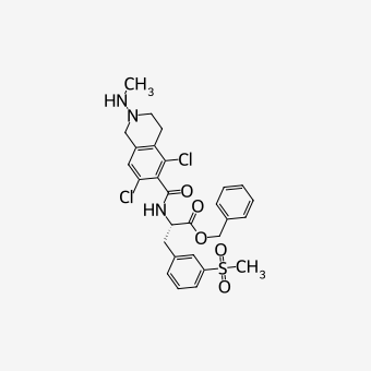 CNN1CCc2c(cc(Cl)c(C(=O)N[C@@H](Cc3cccc(S(C)(=O)=O)c3)C(=O)OCc3ccccc3)c2Cl)C1